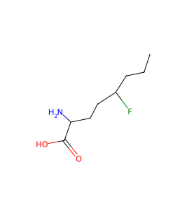 CCCC(F)CCC(N)C(=O)O